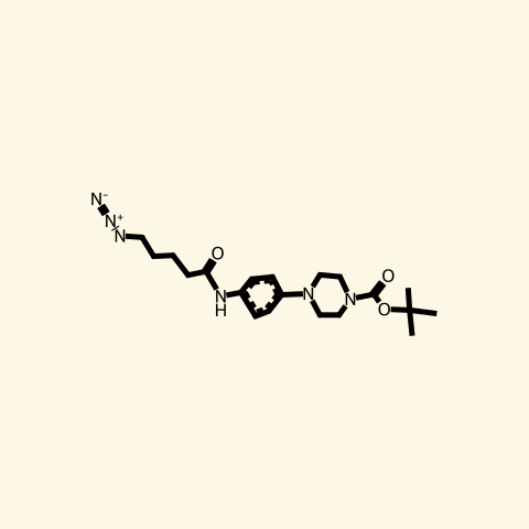 CC(C)(C)OC(=O)N1CCN(c2ccc(NC(=O)CCCCN=[N+]=[N-])cc2)CC1